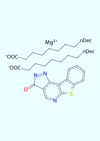 CCCCCCCCCCCCCCCCCC(=O)[O-].CCCCCCCCCCCCCCCCCC(=O)[O-].O=C1N=Nc2c1cnc1sc3ccccc3c21.[Mg+2]